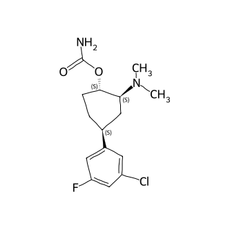 CN(C)[C@H]1C[C@@H](c2cc(F)cc(Cl)c2)CC[C@@H]1OC(N)=O